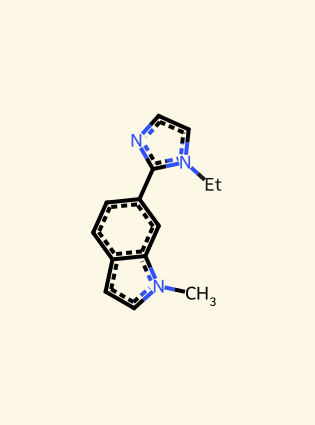 CCn1ccnc1-c1ccc2ccn(C)c2c1